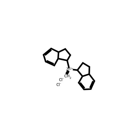 [CH2]=[Zr+2]([CH]1CCC2C=CC=CC21)[CH]1CCC2C=CC=CC21.[Cl-].[Cl-]